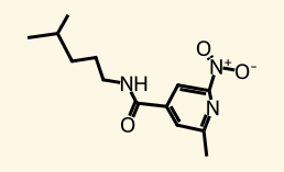 Cc1cc(C(=O)NCCCC(C)C)cc([N+](=O)[O-])n1